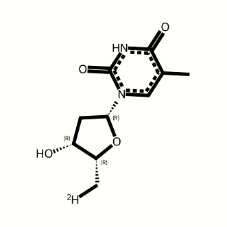 [2H]C[C@H]1O[C@@H](n2cc(C)c(=O)[nH]c2=O)C[C@H]1O